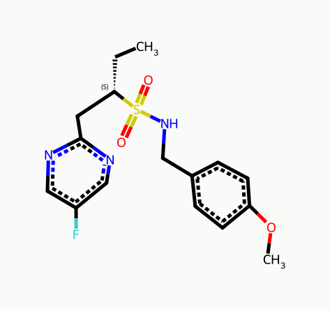 CC[C@@H](Cc1ncc(F)cn1)S(=O)(=O)NCc1ccc(OC)cc1